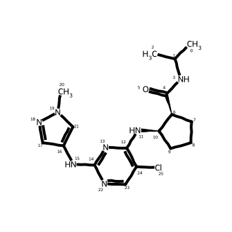 CC(C)NC(=O)[C@H]1CCC[C@H]1Nc1nc(Nc2cnn(C)c2)ncc1Cl